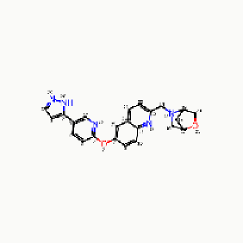 c1cc(-c2ccc(Oc3ccc4nc(CN5CC6CC5CO6)ccc4c3)nc2)[nH]n1